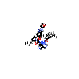 C[C@H]1CC[C@H](c2ccc3cn(C4CCOC4)nc3c2)N(C(=O)C(=O)Nc2cncc3cnn(COCC[Si](C)(C)C)c23)C1